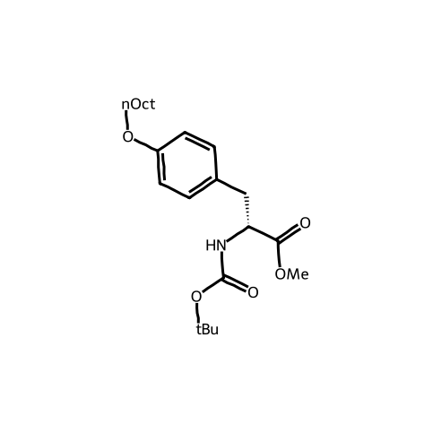 CCCCCCCCOc1ccc(C[C@@H](NC(=O)OC(C)(C)C)C(=O)OC)cc1